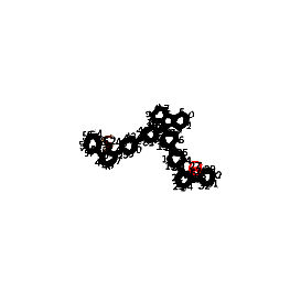 c1ccc2c(c1)-c1ccccc1C2(c1ccc(-c2ccc(-c3cccc4c3oc3ccccc34)cc2)cc1)c1ccc(-c2ccc(-c3cccc4c3sc3ccccc34)cc2)cc1